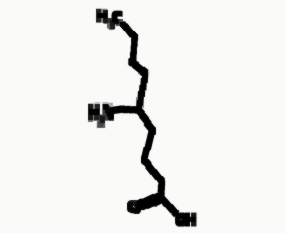 CCCCC(N)CCCC(=O)O